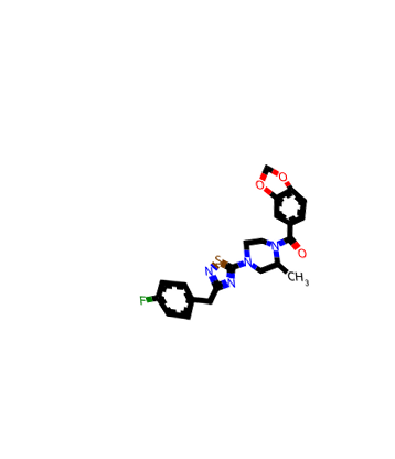 CC1CN(c2nc(Cc3ccc(F)cc3)ns2)CCN1C(=O)c1ccc2c(c1)OCO2